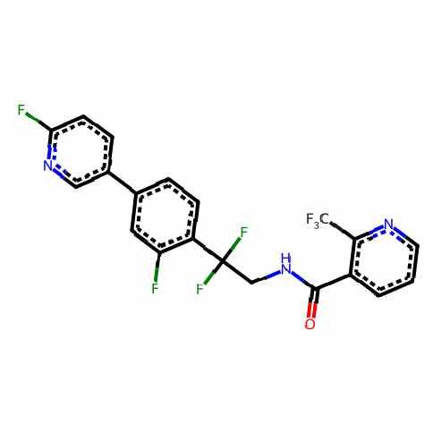 O=C(NCC(F)(F)c1ccc(-c2ccc(F)nc2)cc1F)c1cccnc1C(F)(F)F